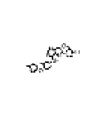 Cc1ccc(Oc2ccc(Nc3ncnc4cc5c(nc34)N3CCNC(CO5)C3)cc2C)cn1